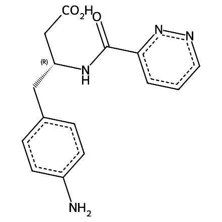 Nc1ccc(C[C@H](CC(=O)O)NC(=O)c2cccnn2)cc1